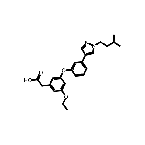 CCOc1cc(CC(=O)O)cc(Oc2cccc(-c3cnn(CCC(C)C)c3)c2)c1